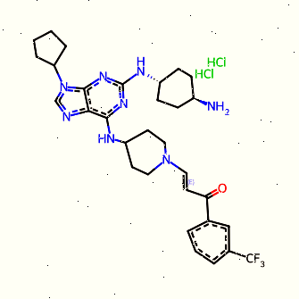 Cl.Cl.N[C@H]1CC[C@H](Nc2nc(NC3CCN(/C=C/C(=O)c4cccc(C(F)(F)F)c4)CC3)c3ncn(C4CCCC4)c3n2)CC1